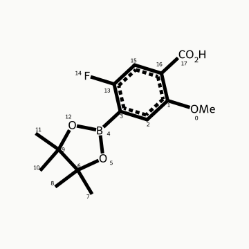 COc1cc(B2OC(C)(C)C(C)(C)O2)c(F)cc1C(=O)O